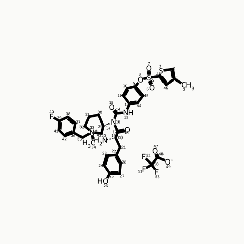 Cc1csc(S(=O)(=O)Oc2ccc(NC(=O)N(C(=O)[C@@H](N)Cc3ccc(O)cc3)[C@H]3CCC[N+](C)(Cc4ccc(F)cc4)C3)cc2)c1.O=C([O-])C(F)(F)F